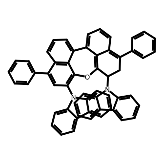 c1ccc(C2=c3cccc4c3c(oc3c(-n5c6ccccc6c6ccccc65)cc(-c5ccccc5)c5cccc4c53)C(n3c4ccccc4c4ccccc43)C2)cc1